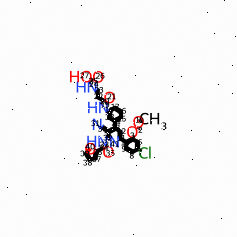 COCOc1cc(Cl)ccc1-c1cc(-c2cccc(NC(=O)CCNC(=O)O)c2)c(C#N)c(NC(=O)c2ccco2)n1